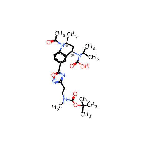 CC(=O)N1c2ccc(-c3nc(CCN(C)C(=O)OC(C)(C)C)no3)cc2[C@H](N(C(=O)O)C(C)C)C[C@@H]1C